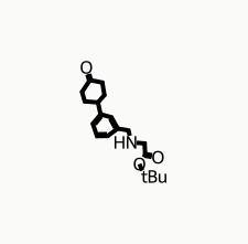 CC(C)(C)OC(=O)CNCc1cccc(C2CCC(=O)CC2)c1